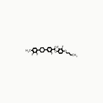 CCCCOc1ccc(OC(=O)c2ccc(C3CCC(c4ccc(C)c(F)c4F)CC3)cc2F)c(F)c1F